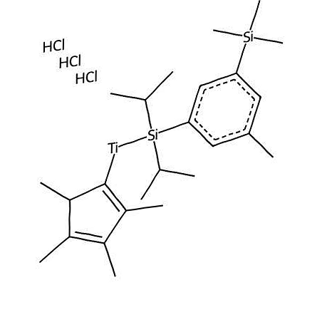 CC1=C(C)C(C)[C]([Ti][Si](c2cc(C)cc([Si](C)(C)C)c2)(C(C)C)C(C)C)=C1C.Cl.Cl.Cl